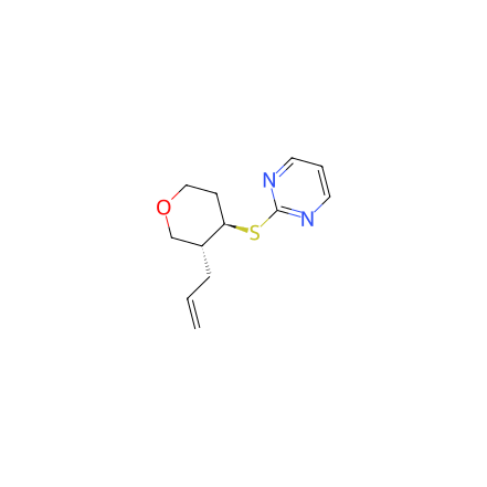 C=CC[C@@H]1COCC[C@H]1Sc1ncccn1